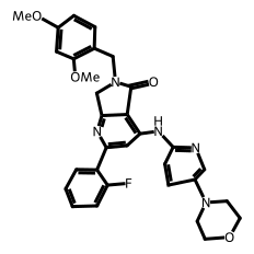 COc1ccc(CN2Cc3nc(-c4ccccc4F)cc(Nc4ccc(N5CCOCC5)cn4)c3C2=O)c(OC)c1